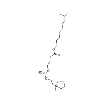 CC(C)CCCCCCCOC(=O)CCCOP(O)OCC[N+]1(C)CCCC1